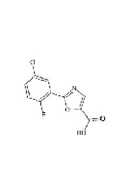 O=C(O)c1cnc(-c2cc(Cl)ccc2F)o1